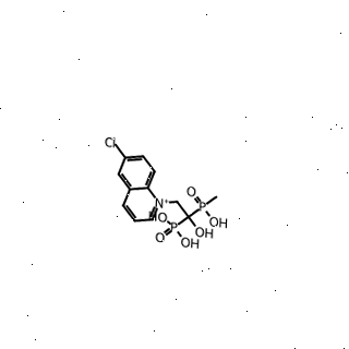 CP(=O)(O)C(O)(C[n+]1cccc2cc(Cl)ccc21)P(=O)(O)O